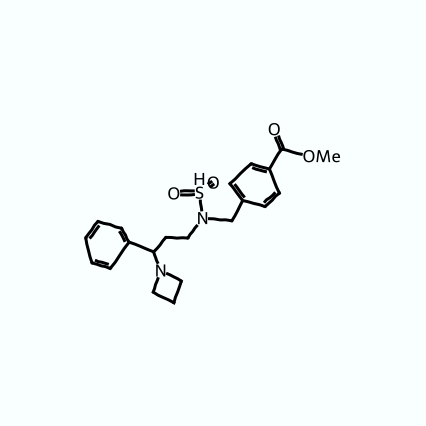 COC(=O)c1ccc(CN(CCC(c2ccccc2)N2CCC2)[SH](=O)=O)cc1